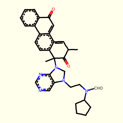 CC1C=c2c(ccc3c2=CC(=O)c2ccccc2-3)C(C)(N2CN(CCN(C=O)C3CCCC3)c3cncnc32)C1=O